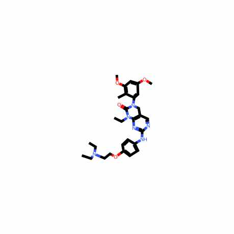 CCN(CC)CCOc1ccc(Nc2ncc3c(n2)N(CC)C(=O)N(c2cc(OC)cc(OC)c2C)C3)cc1